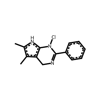 Cc1[nH]c2c(c1C)CN=C(c1ccccc1)N2Cl